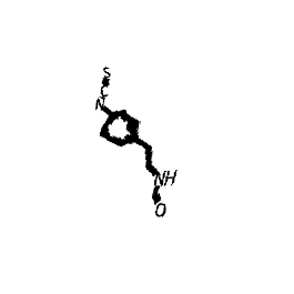 O=CNCCc1ccc(N=C=S)cc1